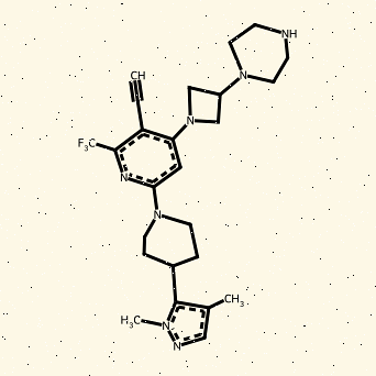 C#Cc1c(N2CC(N3CCNCC3)C2)cc(N2CCC(c3c(C)cnn3C)CC2)nc1C(F)(F)F